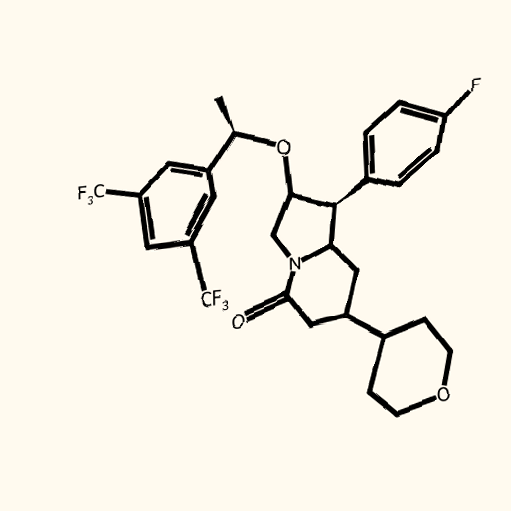 C[C@@H](OC1CN2C(=O)CC(C3CCOCC3)CC2[C@@H]1c1ccc(F)cc1)c1cc(C(F)(F)F)cc(C(F)(F)F)c1